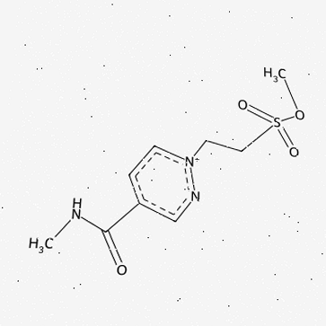 CNC(=O)c1cc[n+](CCS(=O)(=O)OC)nc1